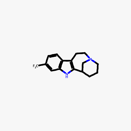 FC(F)(F)c1ccc2c3c([nH]c2c1)C1CCCN(CC3)C1